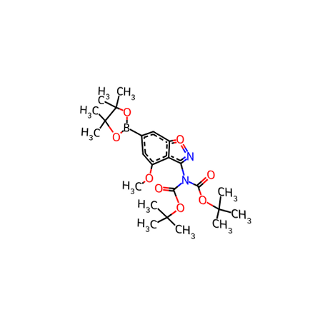 COc1cc(B2OC(C)(C)C(C)(C)O2)cc2onc(N(C(=O)OC(C)(C)C)C(=O)OC(C)(C)C)c12